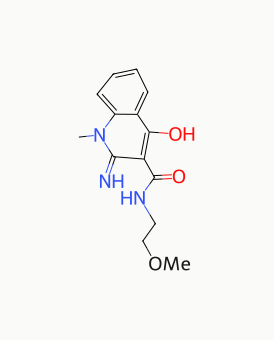 COCCNC(=O)c1c(O)c2ccccc2n(C)c1=N